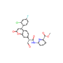 COC(=O)c1cccc(NC(=O)[C@@H](C=O)c2ccc3c(-c4ccc(F)cc4Cl)cc(=O)oc3c2)n1